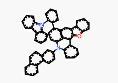 c1ccc(N(c2ccc(-c3ccccc3-n3c4ccccc4c4ccccc43)cc2)c2ccc3c(ccc4ccccc43)c2)c(-c2cccc3c2oc2ccccc23)c1